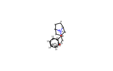 O=C(O)CC1CC2CCC(C1)N2Cc1ccccc1